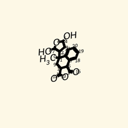 CC1(C2CC(O)OC2O)CC2C(=O)OC(=O)C2c2ccccc21